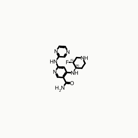 NC(=O)c1cnc(Nc2cnccn2)cc1N[C@@H]1CCNC[C@@H]1F